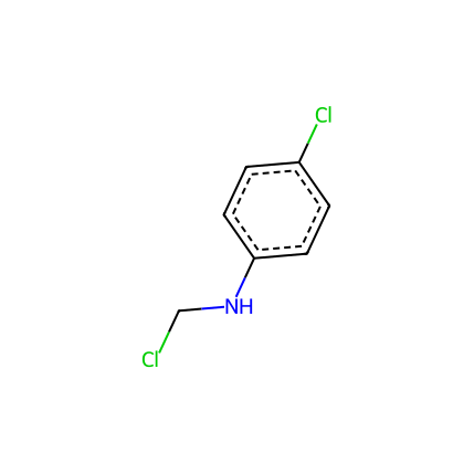 ClCNc1ccc(Cl)cc1